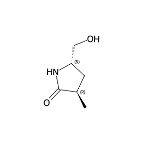 C[C@@H]1C[C@@H](CO)NC1=O